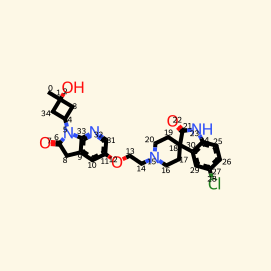 CC1(O)CC(N2C(=O)Cc3cc(OCCN4CCC5(CC4)C(=O)Nc4ccc(Cl)cc45)cnc32)C1